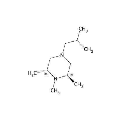 CC(C)CN1C[C@@H](C)N(C)[C@H](C)C1